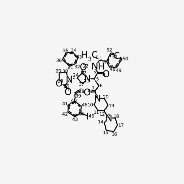 C[C@@H](NC(=O)[C@@H](CC(=O)N1CCC(N2CCCCC2)CC1)N1C(=O)[C@@H](N2C(=O)OC[C@@H]2c2ccccc2)[C@H]1/C=C/c1cccc(I)c1)c1ccccc1